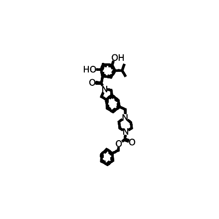 CC(C)c1cc(C(=O)N2Cc3ccc(CN4CCN(C(=O)OCc5ccccc5)CC4)cc3C2)c(O)cc1O